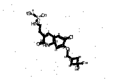 CC(C)(C)[S+]([O-])NCCc1cc2cc(Cl)c(OCC3CC(F)(F)C3)cc2[nH]c1=O